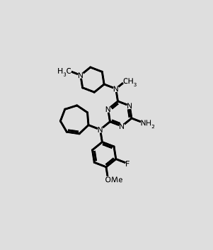 COc1ccc(N(c2nc(N)nc(N(C)C3CCN(C)CC3)n2)C2C=CCCCC2)cc1F